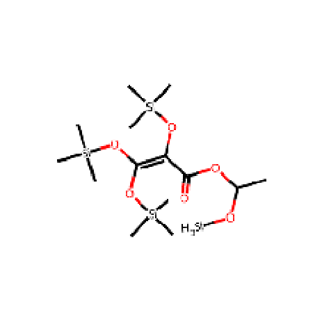 CC(O[SiH3])OC(=O)C(O[Si](C)(C)C)=C(O[Si](C)(C)C)O[Si](C)(C)C